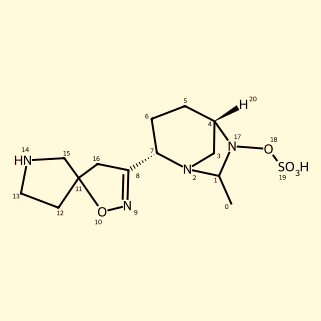 CC1N2C[C@H](CC[C@H]2C2=NOC3(CCNC3)C2)N1OS(=O)(=O)O